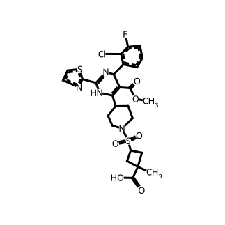 COC(=O)C1=C(C2CCN(S(=O)(=O)C3CC(C)(C(=O)O)C3)CC2)NC(c2nccs2)=NC1c1cccc(F)c1Cl